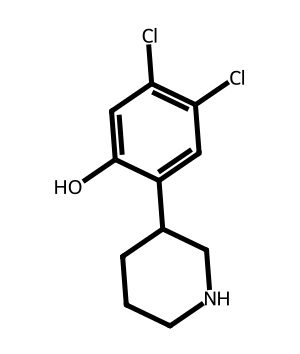 Oc1cc(Cl)c(Cl)cc1C1CCCNC1